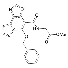 COC(=O)CNC(=O)c1c(OCc2ccccc2)c2sccc2c2ncnn12